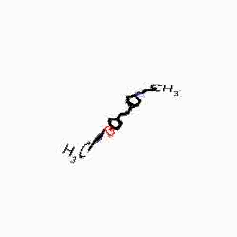 CCC/C=C/C1CCC(CCC2CCC(OCCCCC)CC2)CC1